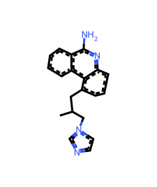 CC(Cc1cccc2nc(N)c3ccccc3c12)Cn1ccnc1